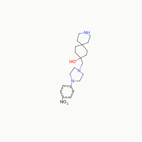 O=[N+]([O-])c1ccc(N2CCN(CC3(O)CCC4(CCNCC4)CC3)CC2)cc1